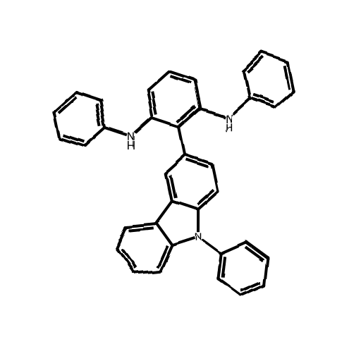 c1ccc(Nc2cccc(Nc3ccccc3)c2-c2ccc3c(c2)c2ccccc2n3-c2ccccc2)cc1